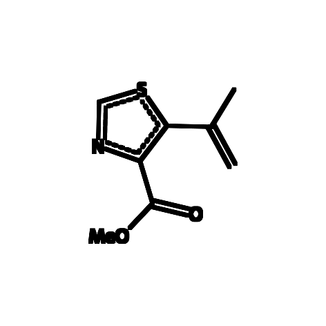 C=C(C)c1scnc1C(=O)OC